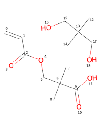 C=CC(=O)OCC(C)(C)C(=O)O.CC(C)(CO)CO